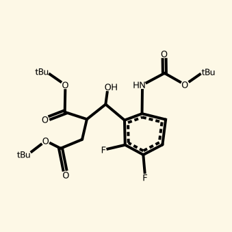 CC(C)(C)OC(=O)CC(C(=O)OC(C)(C)C)C(O)c1c(NC(=O)OC(C)(C)C)ccc(F)c1F